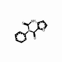 NC(=S)N(C(=O)c1ccco1)c1ccccc1